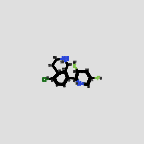 Fc1cnc(-c2ccc(Cl)c3c2CNCC3)c(F)c1